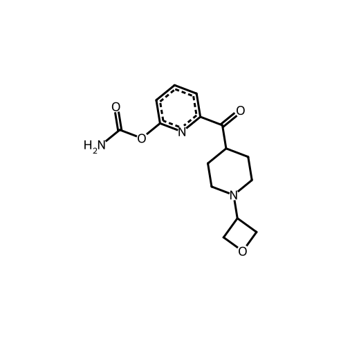 NC(=O)Oc1cccc(C(=O)C2CCN(C3COC3)CC2)n1